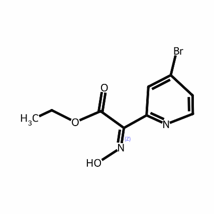 CCOC(=O)/C(=N\O)c1cc(Br)ccn1